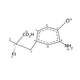 CC[C@@](C)(Cc1ccc(Cl)c(N)c1)C(=O)O